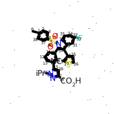 Cc1ccc(S(=O)(=O)n2c(-c3cccc(-c4cc(C(=O)O)nn4C(C)C)c3)c(-c3ccsc3C#N)c3cc(F)ccc32)cc1